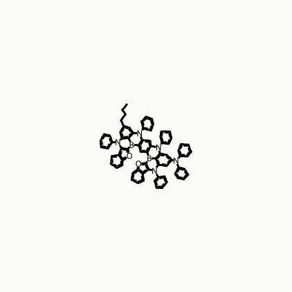 CCCCc1cc2c3c(c1)N(c1ccccc1)c1c(oc4ccccc14)B3c1cc3c(cc1N2c1ccccc1)N(c1ccccc1)c1cc(N(c2ccccc2)c2ccccc2)cc2c1B3c1oc3ccccc3c1N2c1ccccc1